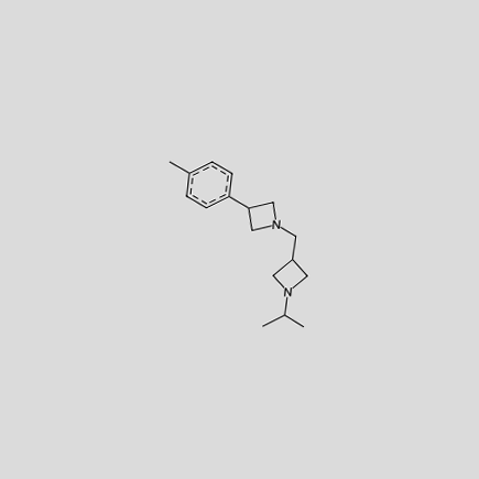 Cc1ccc(C2CN(CC3CN(C(C)C)C3)C2)cc1